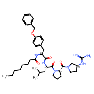 CCCCCCCC(=O)N[C@@H](Cc1ccc(OCc2ccccc2)cc1)C(=O)N[C@@H](CC(C)C)C(=O)N1CCC[C@H]1C(=O)N1CC[C@H](NC(=N)N)C1